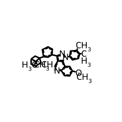 COc1ccc2ncc3c(-c4cccc(C56CC(CCC5C)C6(C)C)c4)nn(-c4ccc(C)c(C)c4)c3c2c1